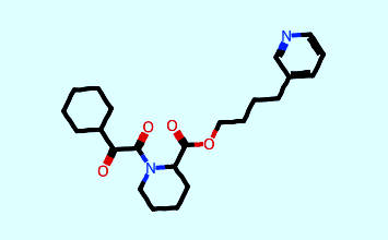 O=C(C(=O)N1CCCCC1C(=O)OCCCCc1cccnc1)C1CCCCC1